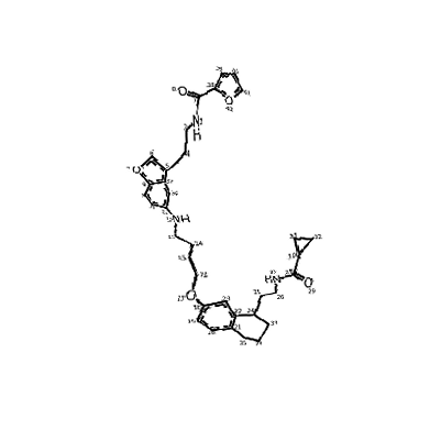 O=C(NCCc1coc2ccc(NCCCCOc3ccc4c(c3)C(CCNC(=O)C3CC3)CCC4)cc12)c1ccco1